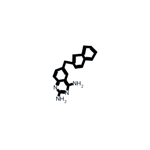 Nc1nc(N)c2cc(Cc3ccc4ccccc4c3)ccc2n1